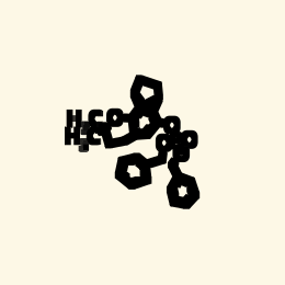 CC1(C)CCc2cc(OP(=O)(OCc3ccccc3)OCc3ccccc3)c3c(c2O1)C1CCC3C1